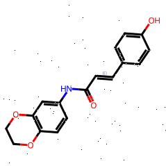 O=C(/C=C/c1ccc(O)cc1)Nc1ccc2c(c1)OCCO2